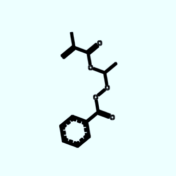 C=C(C)C(=O)OC(C)OOC(=O)c1ccccc1